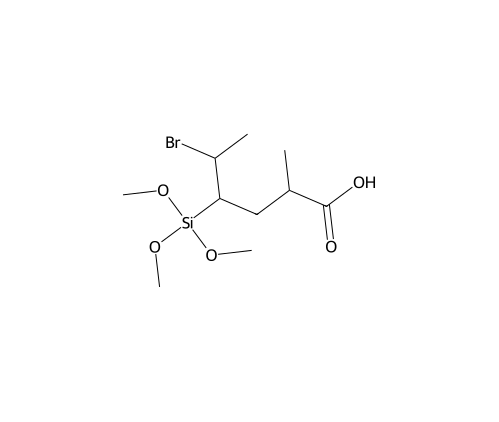 CO[Si](OC)(OC)C(CC(C)C(=O)O)C(C)Br